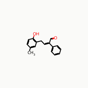 Cc1ccc(O)c(CC=C(C=O)c2ccccc2)c1